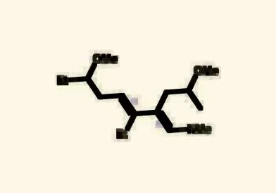 CCC(=C\CC(CC)OC)/C(=C/NC)CC(C)OC